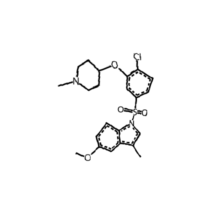 COc1ccc2c(c1)c(C)cn2S(=O)(=O)c1ccc(Cl)c(OC2CCN(C)CC2)c1